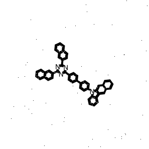 C1=CC2C=c3c(n(-c4ccc(-c5ccc(-c6nc(-c7ccc8ccccc8c7)nc(-c7ccc8ccccc8c7)n6)cc5)cc4)c4ccccc34)=CC2C=C1